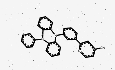 N#Cc1ccnc(-c2cccc(N3c4ccccc4N(c4ccccc4)c4ccccc43)c2)c1